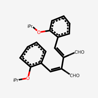 CC(C)Oc1ccccc1C=C(C=O)C(C=O)=Cc1ccccc1OC(C)C